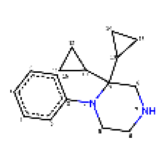 c1ccc(N2CCNCC2(C2CC2)C2CC2)cc1